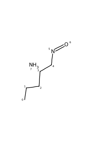 CCCCCN=O.N